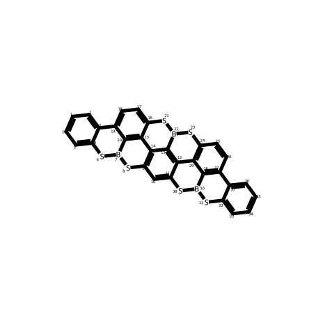 c1ccc2c(c1)SB1Sc3cc4c5c6c3-c3c(ccc-2c31)SB6Sc1ccc2c(c1-5)B(Sc1ccccc1-2)S4